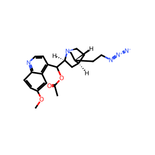 COc1ccc2nccc(C(OC(C)=O)[C@@H]3C[C@@H]4CC[N@@]3C[C@@H]4CCN=[N+]=[N-])c2c1